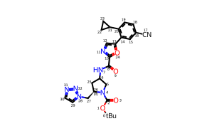 CC(C)(C)OC(=O)N1CC(NC(=O)c2ncc(-c3cc(C#N)ccc3C3CC3)o2)C[C@@H]1Cn1ccnn1